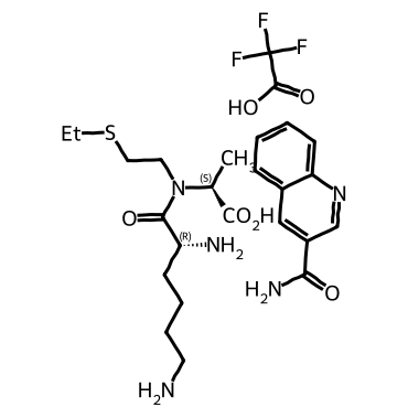 CCSCCN(C(=O)[C@H](N)CCCCN)[C@@H](C)C(=O)O.NC(=O)c1cnc2ccccc2c1.O=C(O)C(F)(F)F